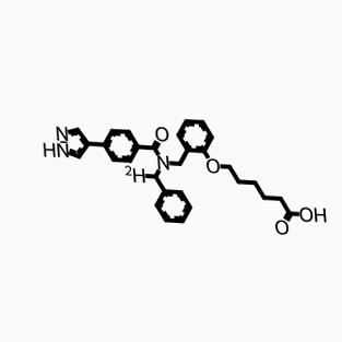 [2H]C(c1ccccc1)N(Cc1ccccc1OCCCCCC(=O)O)C(=O)c1ccc(-c2cn[nH]c2)cc1